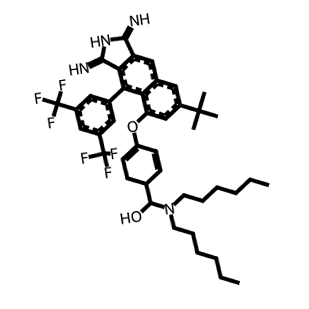 CCCCCCN(CCCCCC)C(O)C1C=CC(Oc2cc(C(C)(C)C)cc3cc4c(c(-c5cc(C(F)(F)F)cc(C(F)(F)F)c5)c23)C(=N)NC4=N)=CC1